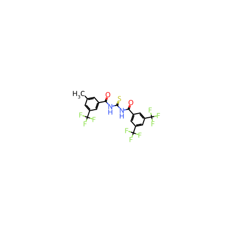 Cc1cc(C(=O)NC(=S)NC(=O)c2cc(C(F)(F)F)cc(C(F)(F)F)c2)cc(C(F)(F)F)c1